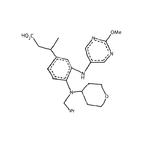 COc1ncc(Nc2cc(C(C)CC(=O)O)ccc2N(CC(C)C)C2CCOCC2)cn1